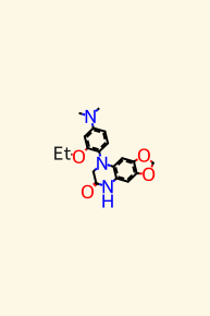 CCOc1cc(N(C)C)ccc1N1CC(=O)Nc2cc3c(cc21)OCO3